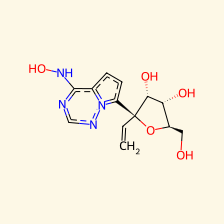 C=C[C@@]1(c2ccc3c(NO)ncnn23)O[C@H](CO)[C@@H](O)[C@H]1O